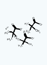 CC(C)(C)C(=O)[O-].CC(C)(C)C(=O)[O-].CC(C)(C)C(=O)[O-].[V+3]